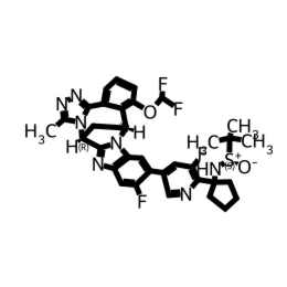 Cc1nnc2n1[C@@H]1C[C@H](c3c(OC(F)F)cccc3-2)n2c1nc1cc(F)c(-c3cnc(C4(N[S@+]([O-])C(C)(C)C)CCCC4)c(F)c3)cc12